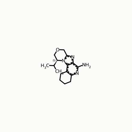 CC(C)[C@H]1COCc2nc3c(N)nc4c(c3n21)CCCC4